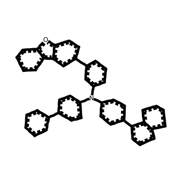 c1ccc(-c2ccc(N(c3ccc(-c4cccc5ccccc45)cc3)c3cccc(-c4ccc5oc6ccccc6c5c4)c3)cc2)cc1